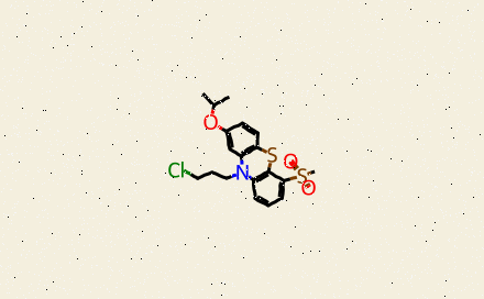 CC(C)Oc1ccc2c(c1)N(CCCCl)c1cccc(S(C)(=O)=O)c1S2